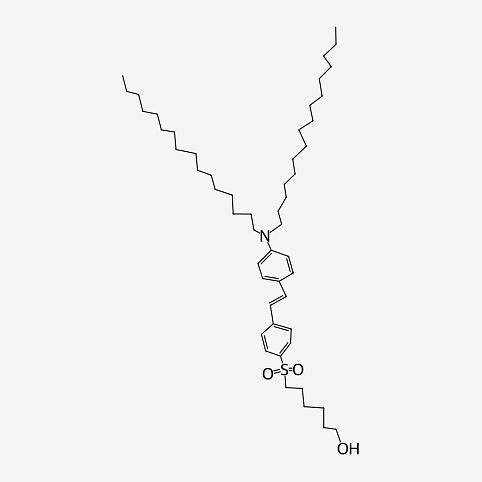 CCCCCCCCCCCCCCCCN(CCCCCCCCCCCCCCCC)c1ccc(C=Cc2ccc(S(=O)(=O)CCCCCCO)cc2)cc1